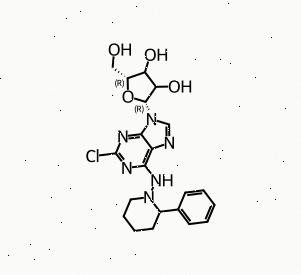 OC[C@H]1O[C@@H](n2cnc3c(NN4CCCCC4c4ccccc4)nc(Cl)nc32)C(O)C1O